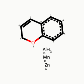 C1=Cc2ccccc2OC1.[AlH3].[Mn].[Zn]